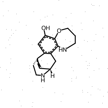 Oc1cc2c(c3c1OCCCN3)C[C@@H]1NCC[C@]23CCCCC13